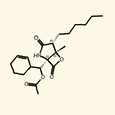 CCCCCC[C@H]1C(=O)N[C@]2(C(OC(C)=O)C3C=CCCC3)C(=O)O[C@@]12C